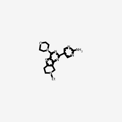 CCN1CCc2sc3c(N4CCOCC4)nc(-c4cnc(N)nc4)nc3c2C1